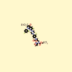 CCOC(=O)c1cn(-c2ccc(F)cc2F)c2nc(N3CCN(c4ccc(N5CC(CN(C(=O)OCC(Cl)(Cl)Cl)c6ccon6)OC5=O)cc4F)CC3)c(F)cc2c1=O